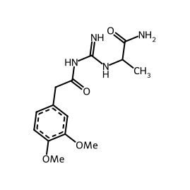 COc1ccc(CC(=O)NC(=N)NC(C)C(N)=O)cc1OC